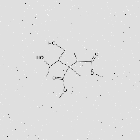 COC(=O)C(C)C(C)(C(=O)OC)C(CO)C(C)O